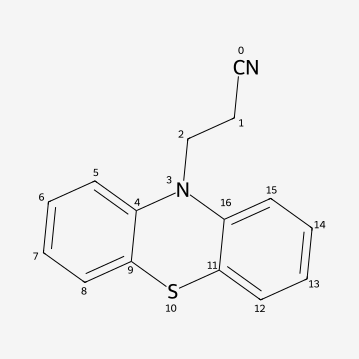 N#CCCN1c2ccccc2Sc2ccccc21